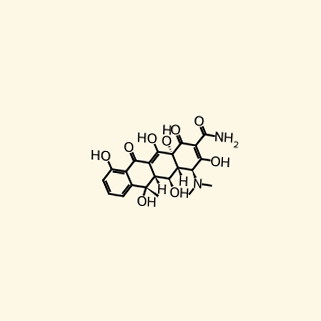 CN(C)[C@@H]1C(O)=C(C(N)=O)C(=O)[C@]2(O)C(O)=C3C(=O)c4c(O)cccc4[C@@](C)(O)[C@H]3[C@H](O)[C@@H]12